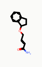 NC(=O)C=CCOC1CCc2ccccc21